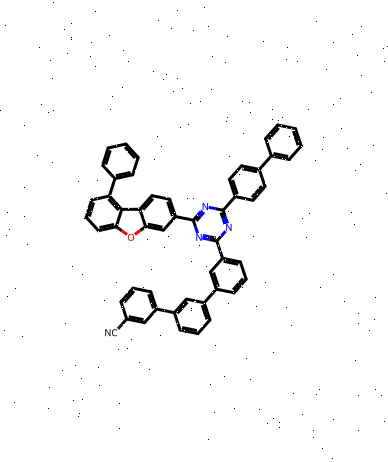 N#Cc1cccc(-c2cccc(-c3cccc(-c4nc(-c5ccc(-c6ccccc6)cc5)nc(-c5ccc6c(c5)oc5cccc(-c7ccccc7)c56)n4)c3)c2)c1